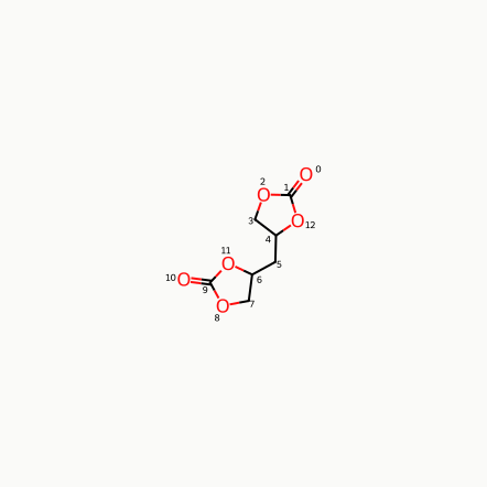 O=C1OCC(CC2COC(=O)O2)O1